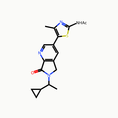 CC(=O)Nc1nc(C)c(-c2cnc3c(c2)CN(C(C)C2CC2)C3=O)s1